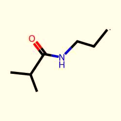 [CH2]CCNC(=O)C(C)C